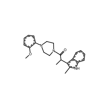 COc1ccccc1N1CCN(C(=O)C(C)c2c(C)[nH]c3ccccc23)CC1